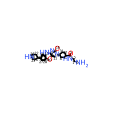 NCCNC(=O)C1CCC(n2cc3c(nc2=O)Nc2cc(C4CCNCC4)ccc2O3)CC1